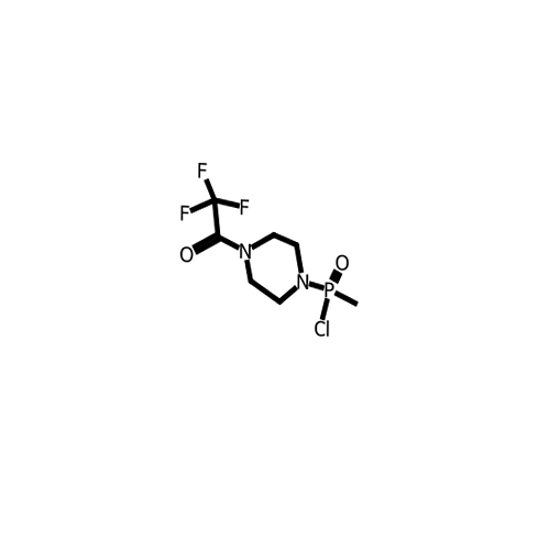 CP(=O)(Cl)N1CCN(C(=O)C(F)(F)F)CC1